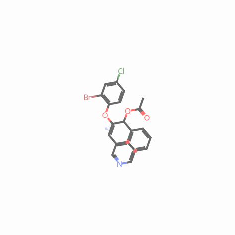 CC(=O)OC(/C(=C\c1cccnc1)Oc1ccc(Cl)cc1Br)c1ccccc1